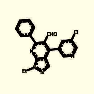 CCn1ncc2c(-c3cncc(Cl)c3)c(C=O)c(-c3ccccc3)nc21